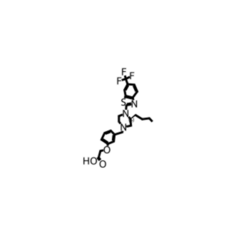 CCCC[C@H]1CN(Cc2cccc(OCC(=O)O)c2)CCN1c1nc2ccc(C(F)(F)F)cc2s1